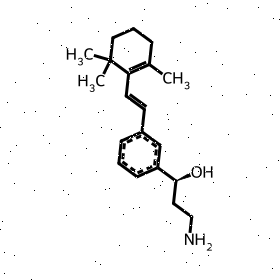 CC1=C(/C=C/c2cccc([C@@H](O)CCN)c2)C(C)(C)CCC1